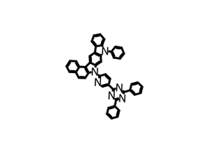 c1ccc(-c2nc(-c3ccccc3)nc(-c3ccc(-n4c5cc6c(cc5c5c7ccccc7ccc54)c4ccccc4n6-c4ccccc4)nc3)n2)cc1